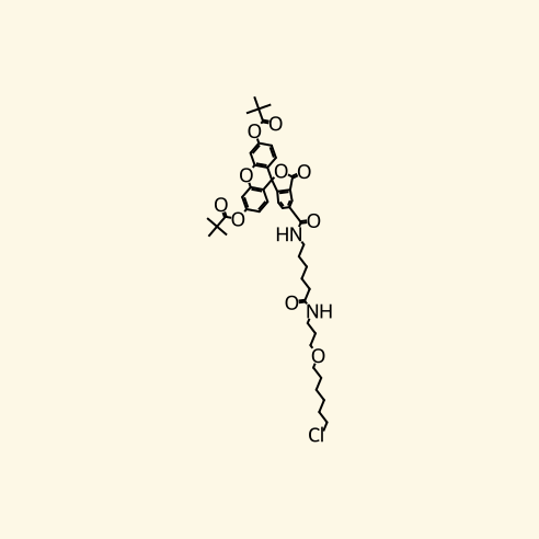 CC(C)(C)C(=O)Oc1ccc2c(c1)Oc1cc(OC(=O)C(C)(C)C)ccc1C21OC(=O)c2cc(C(=O)NCCCCCC(=O)NCCCOCCCCCCCl)ccc21